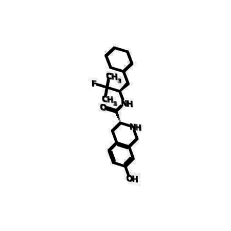 CC(C)(F)[C@@H](CC1CCCCC1)NC(=O)[C@H]1Cc2ccc(O)cc2CN1